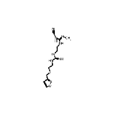 C/N=C(/NC#N)NCCNC(=N)NCCSCc1ccon1